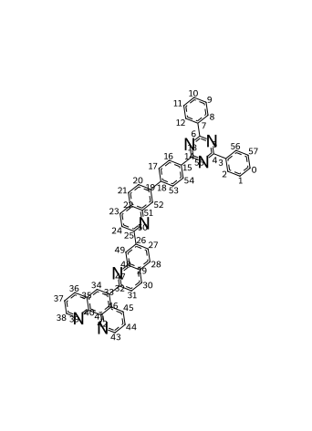 c1ccc(-c2nc(-c3ccccc3)nc(-c3ccc(-c4ccc5ccc(-c6ccc7ccc(-c8cc9cccnc9c9ncccc89)nc7c6)nc5c4)cc3)n2)cc1